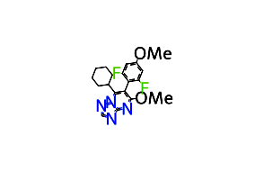 COc1cc(F)c(-c2c(OC)nc3ncnn3c2C2CCCCC2)c(F)c1